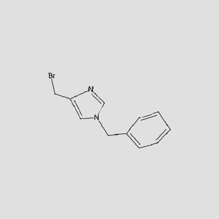 BrCc1cn(Cc2ccccc2)cn1